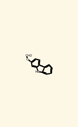 O=COc1ccc2c(c1)[nH]c1ccccc12